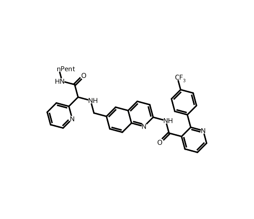 CCCCCNC(=O)C(NCc1ccc2nc(NC(=O)c3cccnc3-c3ccc(C(F)(F)F)cc3)ccc2c1)c1ccccn1